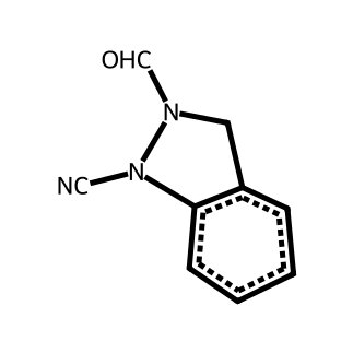 N#CN1c2ccccc2CN1C=O